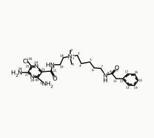 C[N+](C)(CCCCCNC(=O)Cc1ccccc1)CCNC(=O)c1nc(Cl)c(N)nc1N